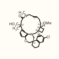 CO[C@H]1C/C=C/CN(C)C(=O)C[C@](C)(C(=O)O)c2ccc3c(c2)N(C[C@@H]2CC[C@H]21)C[C@@]1(CCCc2cc(Cl)ccc21)CO3